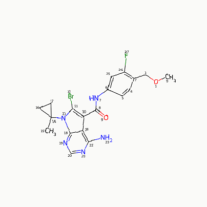 COCc1ccc(NC(=O)c2c(Br)n(C3(C)CC3)c3ncnc(N)c23)cc1F